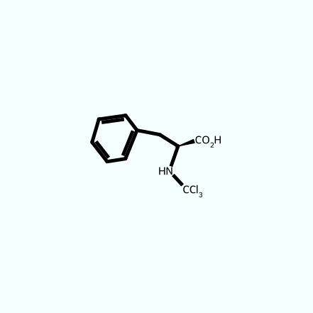 O=C(O)[C@H](Cc1ccccc1)NC(Cl)(Cl)Cl